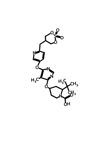 Cc1c(Oc2ccc(CC3COS(=O)(=O)OC3)nc2)ncnc1OC1CCN(C(=O)O)C(C(C)(C)C)C1